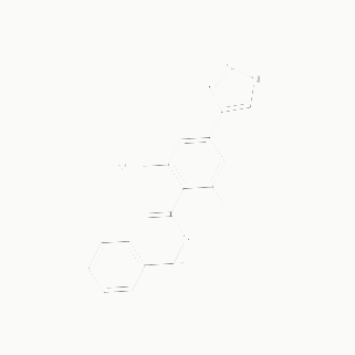 COc1cc(-c2cn[nH]c2)cc(F)c1C(=O)N[C@H](C)c1ccccc1